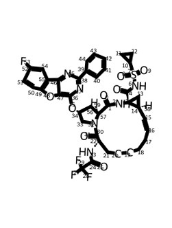 O=C1N[C@]2(C(=O)NS(=O)(=O)C3CC3)C[C@H]2/C=C\CCCCC[C@H](NC(=O)C(F)(F)F)C(=O)N2C[C@H](Oc3nc(-c4ccccc4)nc4c3oc3ccc(F)cc34)C[C@@H]12